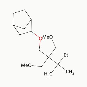 CCC(C)(C)C(COC)(COC)COC1CC2CCC1C2